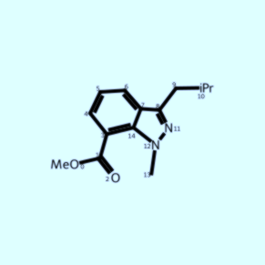 COC(=O)c1cccc2c(CC(C)C)nn(C)c12